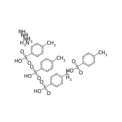 Cc1ccc(S(=O)(=O)O)cc1.Cc1ccc(S(=O)(=O)O)cc1.Cc1ccc(S(=O)(=O)O)cc1.Cc1ccc(S(=O)(=O)O)cc1.N.N.N.N